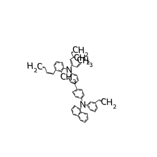 C=C/C=C\c1cccc(N(C(/C=C\C)=C/C(=C)C=C)c2ccc(-c3ccc(N(c4cccc(C=C)c4)c4cccc5ccccc45)cc3)cc2)c1C